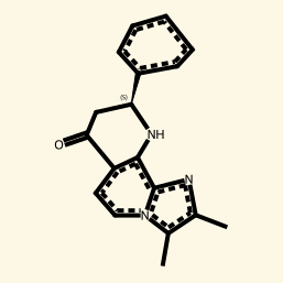 Cc1nc2c3c(ccn2c1C)C(=O)C[C@@H](c1ccccc1)N3